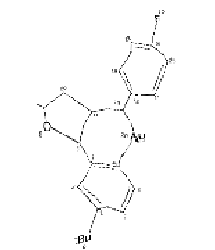 CC(C)(C)c1ccc2c(c1)C1OCCC1C(c1ccc(F)cc1)N2